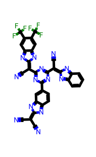 N#CC(C#N)=C1N=c2ccc(-c3nc(C(C#N)=C4N=c5ccccc5=N4)nc(C(C#N)=C4N=c5cc(C(F)(F)F)c(C(F)(F)F)cc5=N4)n3)cc2=N1